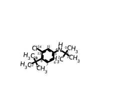 CC(C)(C)Nc1ccc(C(C)(C)C)c(Cl)c1